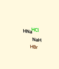 Br.Cl.[NaH].[NaH]